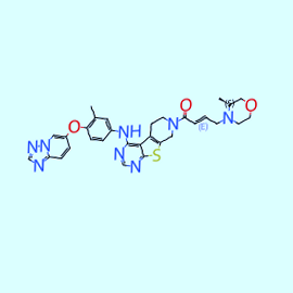 Cc1cc(Nc2ncnc3sc4c(c23)CCN(C(=O)/C=C/CN2CCOC[C@@H]2C)C4)ccc1Oc1ccc2ncnn2c1